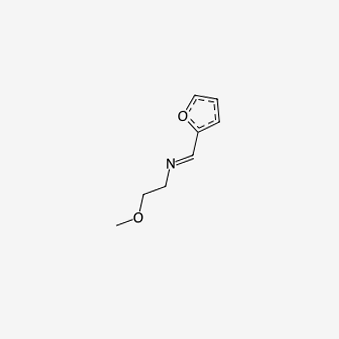 COCC/N=C/c1ccco1